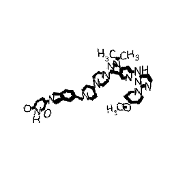 COC1CCN(c2nccc(Nc3cc4c(cn3)c(N3CCN(C5CCN(Cc6ccc7cn(C8CCC(=O)NC8=O)cc7c6)CC5)CC3)nn4C(C)C)n2)CC1